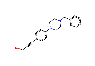 OCC#Cc1ccc(N2CCN(Cc3ccccc3)CC2)cc1